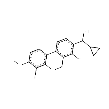 CCOc1ccc2c(c1F)OCc1c-2ccc(C(O)C2CC2)c1F